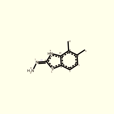 Cc1ccc2s/c(=N\N)[nH]c2c1C